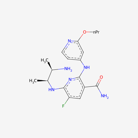 CCCOc1cc(Nc2nc(N[C@@H](C)[C@@H](C)N)c(F)cc2C(N)=O)ccn1